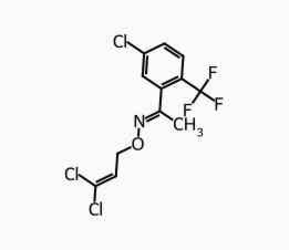 C/C(=N\OCC=C(Cl)Cl)c1cc(Cl)ccc1C(F)(F)F